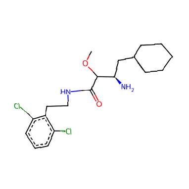 COC(C(=O)NCCc1c(Cl)cccc1Cl)[C@H](N)CC1CCCCC1